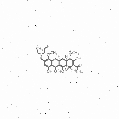 CCN(CCF)Cc1cc(O)c2c(c1OC)C[C@H]1C[C@H]3[C@H](NC)C(O)=C(C(N)=O)C4(O)O[C@]34C(O)=C1C2=O